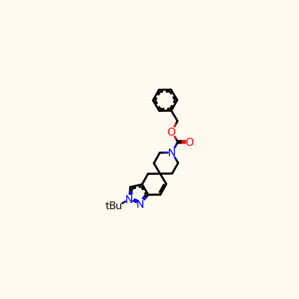 CC(C)(C)n1cc2c(n1)C=CC1(CCN(C(=O)OCc3ccccc3)CC1)C2